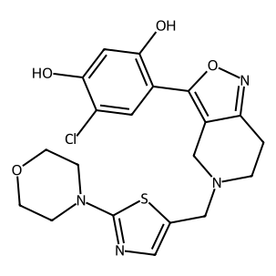 Oc1cc(O)c(-c2onc3c2CN(Cc2cnc(N4CCOCC4)s2)CC3)cc1Cl